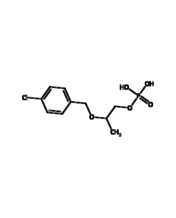 CC(COP(=O)(O)O)OCc1ccc(Cl)cc1